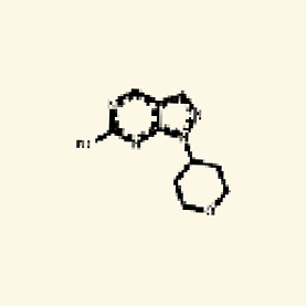 N#Cc1ncc2cnn(C3CCOCC3)c2n1